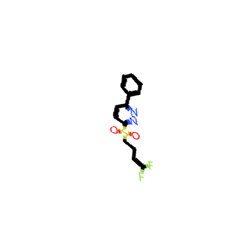 O=S(=O)(CCC=C(F)F)c1ccc(-c2ccccc2)nn1